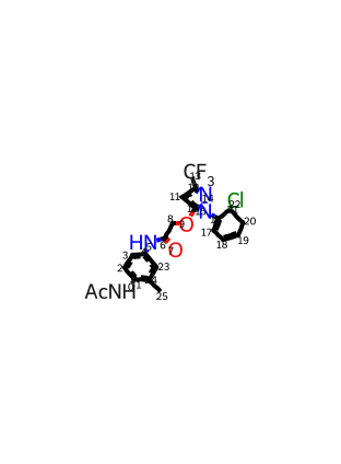 CC(=O)Nc1ccc(NC(=O)COc2cc(C(F)(F)F)nn2C2=CC=CCC2Cl)cc1C